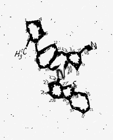 Cc1ccccc1-c1ccc2c(c1)c1cc(C#N)ccc1n2-c1cccc2c1sc1ccccc12